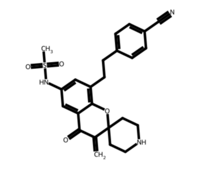 C=C1C(=O)c2cc(NS(C)(=O)=O)cc(CCc3ccc(C#N)cc3)c2OC12CCNCC2